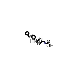 O=C(O)/C=C/c1cnc(NC2CCCN(CC3CCCC3)C2)cn1